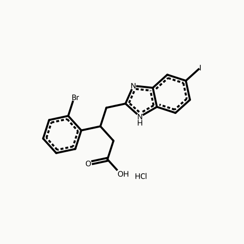 Cl.O=C(O)CC(Cc1nc2cc(I)ccc2[nH]1)c1ccccc1Br